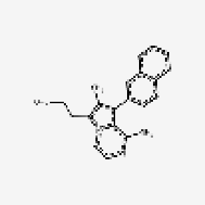 Cc1c(-c2cnc3ccccc3c2)c2c(N)ncnn2c1CCC=O